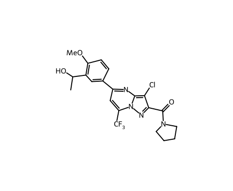 COc1ccc(-c2cc(C(F)(F)F)n3nc(C(=O)N4CCCC4)c(Cl)c3n2)cc1C(C)O